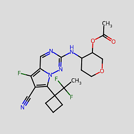 CC(=O)OC1COCCC1Nc1ncc2c(F)c(C#N)c(C3(C(C)(F)F)CCC3)n2n1